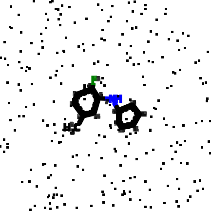 Cc1ccc(F)c(Nc2ccccc2)c1